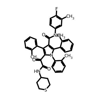 Cc1cc(NC(=O)c2c(-c3ccccc3C)c(C(=O)C(=O)NC3CCSCC3)n(-c3ccccc3C)c2-c2ccccc2C)ccc1F